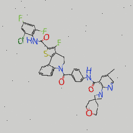 Cc1cnc(N2CC3(CCOCC3)C2)c(C(=O)Nc2ccc(C(=O)N3CCc4c(sc(C(=O)Nc5c(F)cc(F)cc5Cl)c4F)-c4ccccc43)cc2)c1